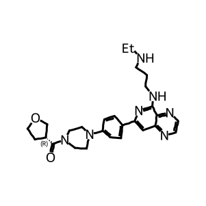 CCNCCCNc1nc(-c2ccc(N3CCN(C(=O)[C@@H]4CCOC4)CC3)cc2)cc2nccnc12